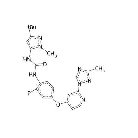 Cc1ncn(-c2cc(Oc3ccc(NC(=O)Nc4cc(C(C)(C)C)nn4C)c(F)c3)ccn2)n1